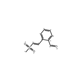 CS(=O)(=O)C=Cc1ccccc1C=O